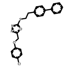 Clc1ccc(OCc2nnc(SCCc3ccc(-c4ccccc4)cc3)o2)cc1